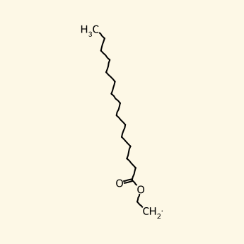 [CH2]COC(=O)CCCCCCCCCCCCCC